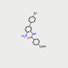 COc1ccc(C(=O)Nc2cc(-c3ccc(C(C)=O)cc3)ccc2N)cc1